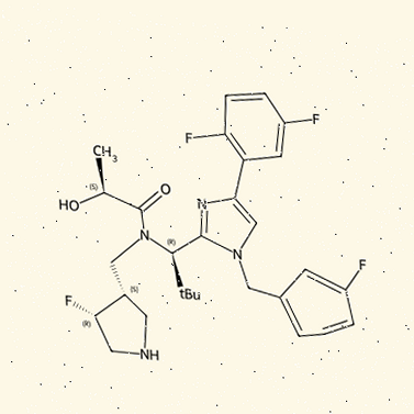 C[C@H](O)C(=O)N(C[C@@H]1CNC[C@@H]1F)[C@@H](c1nc(-c2cc(F)ccc2F)cn1Cc1cccc(F)c1)C(C)(C)C